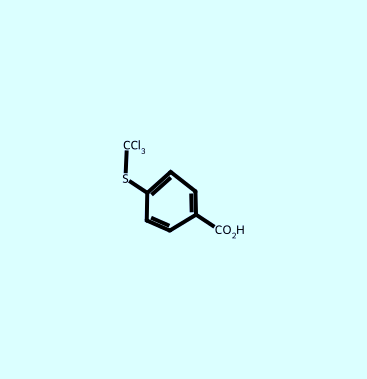 O=C(O)c1ccc(SC(Cl)(Cl)Cl)cc1